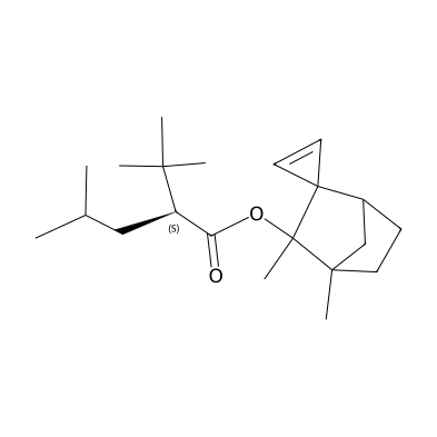 CC(C)C[C@H](C(=O)OC1(C)C2(C)CCC(C2)C12C=C2)C(C)(C)C